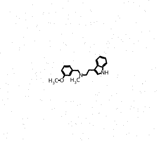 COc1cccc(CN(C)CCc2c[nH]c3ccccc23)c1